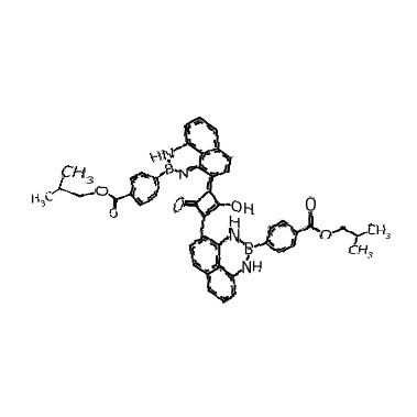 CC(C)COC(=O)c1ccc(B2N=c3/c(=C4\C(=O)C(c5ccc6cccc7c6c5NB(c5ccc(C(=O)OCC(C)C)cc5)N7)=C4O)ccc4cccc(c34)N2)cc1